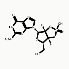 CC(=O)Nc1nc2c(ncn2[C@@H]2O[C@H](CO)[C@H]3OP(=O)(O)O[C@H]32)c(=O)[nH]1